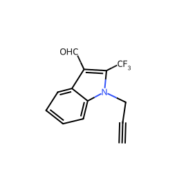 C#CCn1c(C(F)(F)F)c(C=O)c2ccccc21